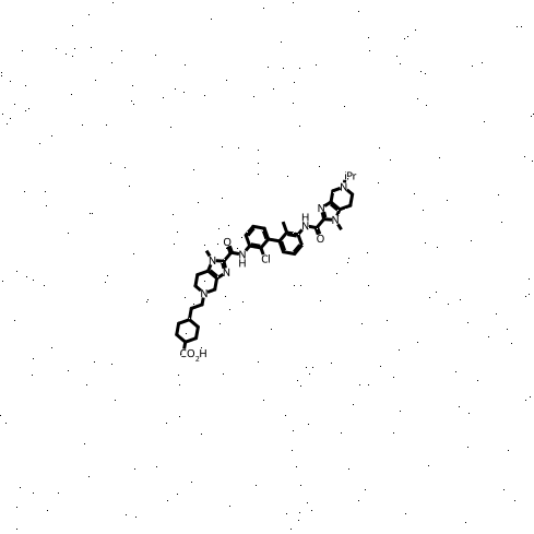 Cc1c(NC(=O)c2nc3c(n2C)CCN(C(C)C)C3)cccc1-c1cccc(NC(=O)c2nc3c(n2C)CCN(CCC2CCC(C(=O)O)CC2)C3)c1Cl